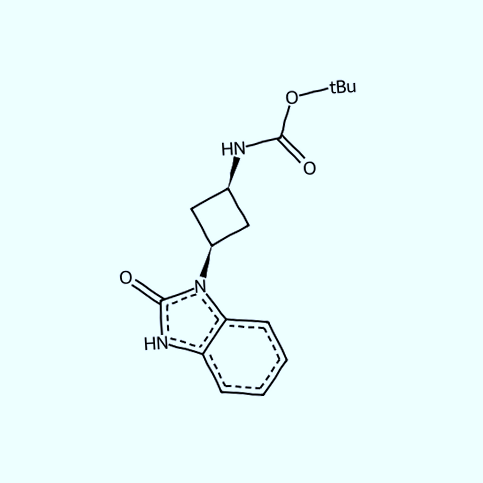 CC(C)(C)OC(=O)N[C@H]1C[C@@H](n2c(=O)[nH]c3ccccc32)C1